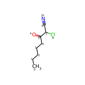 CCCCCC(=O)C(Cl)C#N